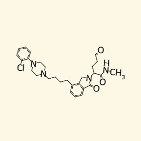 CNC(=O)C(CCC=O)N1Cc2c(CCCCN3CCN(c4ccccc4Cl)CC3)cccc2C1=O